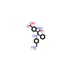 CNCc1ccc(NC(=C2C(=O)Nc3cc(C(=O)O)ccc32)c2ccccc2)cc1